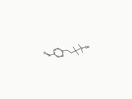 CC(C)(CCc1ccc(N=O)cc1)[Si](C)(C)O